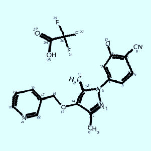 Cc1nn(-c2ccc(C#N)c(Cl)c2)c(C)c1OCc1cccnc1.O=C(O)C(F)(F)F